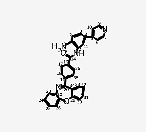 Nc1ccc(-c2ccncc2)cc1NC(=O)c1ccc(C2=Nc3ccccc3Oc3ccccc32)cc1